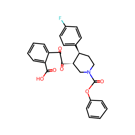 O=C(O)c1ccccc1C(=O)C(=O)[C@H]1CN(C(=O)Oc2ccccc2)CC[C@@H]1c1ccc(F)cc1